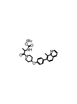 Cc1c(-c2ccc(OC3CCN(C(=O)C(C)NC(=O)OC(C)(C)C)CC3)cc2)ccc2cccnc12